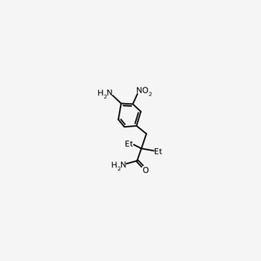 CCC(CC)(Cc1ccc(N)c([N+](=O)[O-])c1)C(N)=O